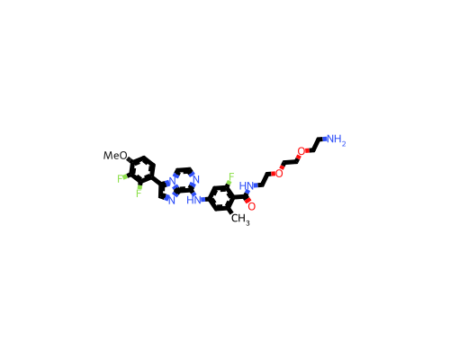 COc1ccc(-c2cnc3c(Nc4cc(C)c(C(=O)NCCOCCOCCN)c(F)c4)nccn23)c(F)c1F